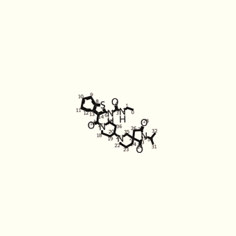 CCNC(=O)Nc1sc2ccccc2c1C(=O)N1CCC(N2CCCC3(CC(=O)N(C(C)C)C3=O)C2)CC1